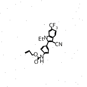 C=CCOC(=O)Nc1ccc(-c2c(C#N)c3ccc(C(F)(F)F)cc3n2CC)cc1